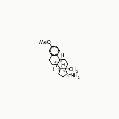 COc1ccc2c(c1)CC[C@@H]1[C@@H]2CC[C@]2(C)[C@@H](N)CC[C@@H]12